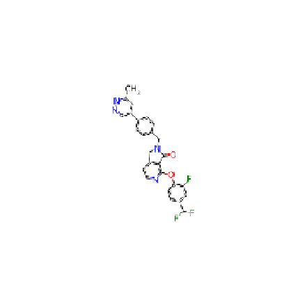 Cc1cc(-c2ccc(CN3Cc4ccnc(Oc5ccc(C(F)F)cc5F)c4C3=O)cc2)cnn1